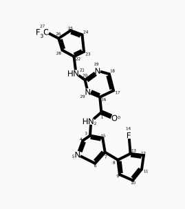 O=C(Nc1cncc(-c2ccccc2F)c1)c1ccnc(Nc2cccc(C(F)(F)F)c2)n1